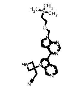 C[Si](C)(C)CCOCn1ccc2c(-c3cn(C4(CC#N)CNC4)c4cnccc34)ncnc21